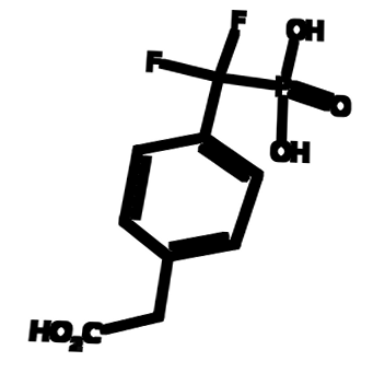 O=C(O)Cc1ccc(C(F)(F)P(=O)(O)O)cc1